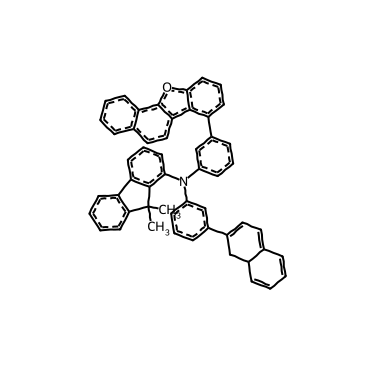 CC1(C)c2ccccc2-c2cccc(N(c3cccc(C4=CC=C5C=CC=CC5C4)c3)c3cccc(-c4cccc5oc6c7ccccc7ccc6c45)c3)c21